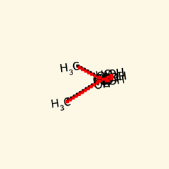 CCCCCCCCCCCCCCCCCCCCC(O)C(=O)N[C@@H](COP(=O)(O)OC1C(O)C(O)C(O)[C@@H](O)C1O)[C@H](O)CCCCCCCCCCCCCCC